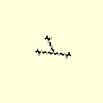 CC(C)C(=O)OCCOCCN(CCOCCOC(=O)C(C)I)CCOCCOC(=O)C(C)I